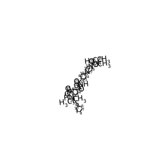 CC(C)(CSc1ccccc1)Nc1ccc(S(=O)(=O)NC(=O)c2ccc(N3CCN(C(=O)OC(C)(C)C)CC3)cc2)cc1[N+](=O)[O-]